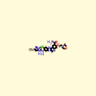 CC(C)(C)c1cc(NC(=O)Nc2ccc(Nc3ccnc4cc(OCCN5CCOCC5)c(C(N)=O)cc34)cc2Cl)[nH]n1